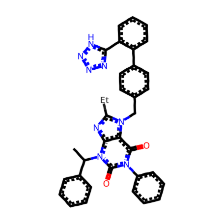 CCc1nc2c(c(=O)n(-c3ccccc3)c(=O)n2C(C)c2ccccc2)n1Cc1ccc(-c2ccccc2-c2nnn[nH]2)cc1